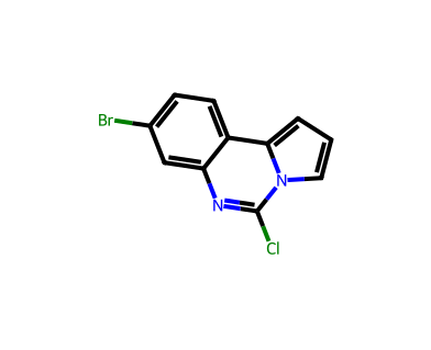 Clc1nc2cc(Br)ccc2c2cccn12